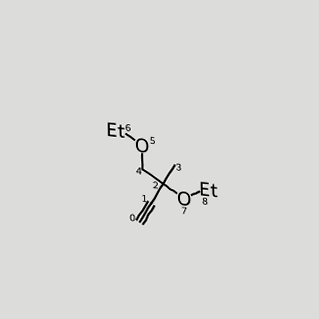 C#CC(C)(COCC)OCC